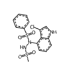 CS(=O)(=O)NN(c1cccc2[nH]cc(Cl)c12)S(=O)(=O)c1ccccc1